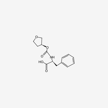 O=C(N[C@@H](Cc1ccccc1)C(=O)O)O[C@H]1CCOC1